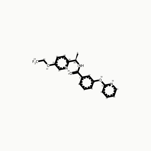 C[C@@H](NC(=O)c1cccc(Oc2ccccn2)c1)c1ccc(OCC(F)(F)F)cn1